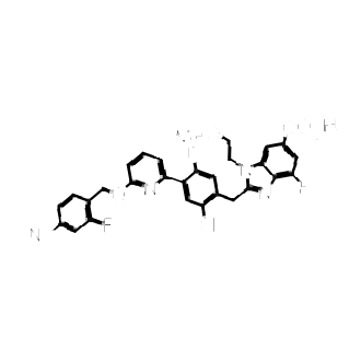 COCCn1c(Cc2cc(F)c(-c3cccc(OCc4ccc(C#N)cc4F)n3)cc2Cl)nc2c(F)cc(C(=O)O)cc21